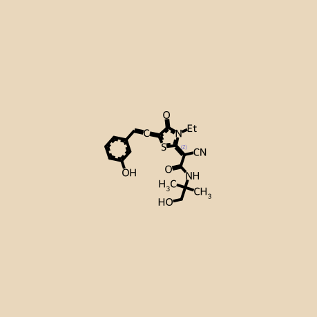 CCn1c(=O)c(=C=Cc2cccc(O)c2)s/c1=C(/C#N)C(=O)NC(C)(C)CO